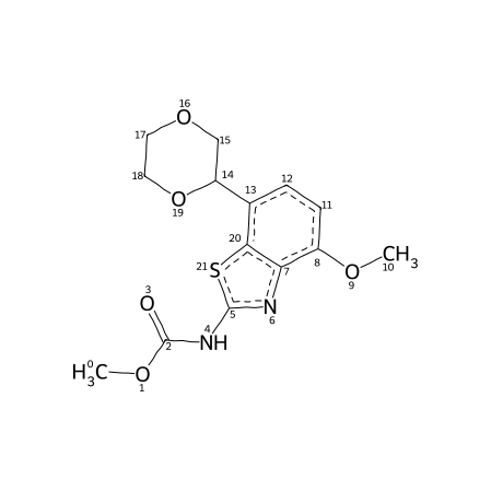 COC(=O)Nc1nc2c(OC)ccc(C3COCCO3)c2s1